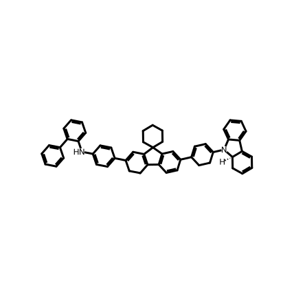 C1=CC[C@@H]2C(=C1)c1ccccc1N2C1=CC=C(c2ccc3c(c2)C2(CCCCC2)C2=C3CCC(c3ccc(Nc4ccccc4-c4ccccc4)cc3)=C2)CC1